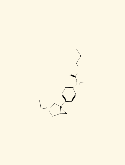 CCCOC(=O)N(C)C1C=CC(C23CC2CN(CC)C3)=CC1